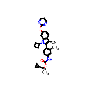 Cc1cc(NC(=O)O[C@H](C)C2CC2)ccc1-c1c(C#N)c2ccc(Oc3ncccn3)cc2n1C1CCC1